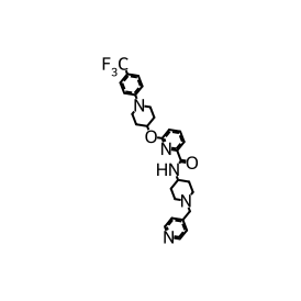 O=C(NC1CCN(Cc2ccncc2)CC1)c1cccc(OC2CCN(c3ccc(C(F)(F)F)cc3)CC2)n1